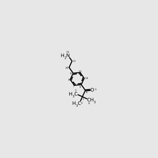 CC(C)(C)C(=O)c1ccc(CCN)cc1